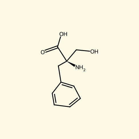 N[C@@](CO)(Cc1ccccc1)C(=O)O